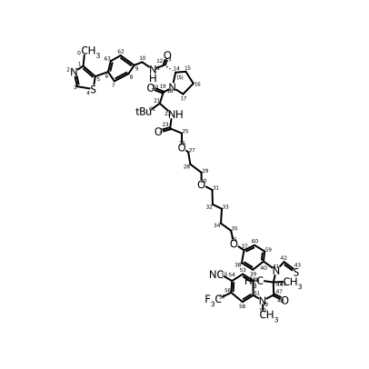 Cc1ncsc1-c1ccc(CNC(=O)[C@@H]2CCCN2C(=O)C(NC(=O)COCCCOCCCCCOc2ccc(N(C=S)C(C)(C)C(=O)N(C)c3ccc(C#N)c(C(F)(F)F)c3)cc2)C(C)(C)C)cc1